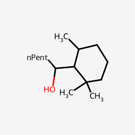 CCCCCC(O)C1C(C)CCCC1(C)C